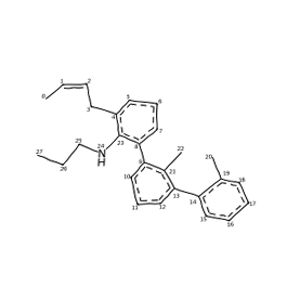 C/C=C\Cc1cccc(-c2cccc(-c3ccccc3C)c2C)c1NCCC